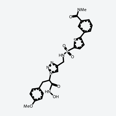 CNC(=O)c1cccc(-c2ccc(S(=O)(=O)NCc3cn(C(Cc4ccc(OC)cc4)C(=O)NO)nn3)s2)c1